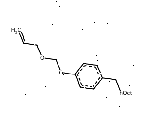 C=CCOCOc1ccc(CCCCCCCCC)cc1